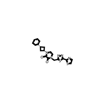 O=c1c(=O)n([C@H]2C[C@@H](c3ccccc3)C2)ccn1Cc1nnc(-c2nccs2)s1